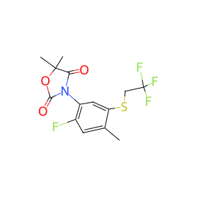 Cc1cc(F)c(N2C(=O)OC(C)(C)C2=O)cc1SCC(F)(F)F